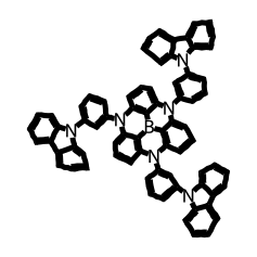 c1cc(N2c3cccc4c3B3c5c2cccc5N(c2cccc(-n5c6ccccc6c6ccccc65)c2)c2cccc(c23)N4c2cccc(-n3c4ccccc4c4ccccc43)c2)cc(-n2c3ccccc3c3ccccc32)c1